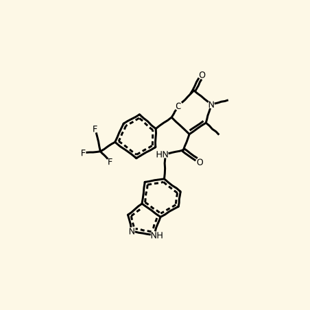 CC1=C(C(=O)Nc2ccc3[nH]ncc3c2)C(c2ccc(C(F)(F)F)cc2)CC(=O)N1C